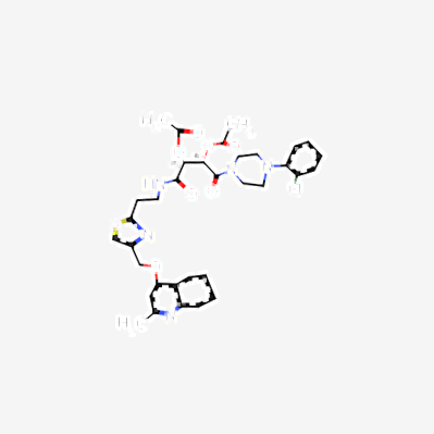 CC(=O)O[C@@H](C(=O)NCCc1nc(COc2cc(C)nc3ccccc23)cs1)[C@@H](OC(C)=O)C(=O)N1CCN(c2ccccc2Cl)CC1